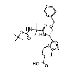 CC(C)(C)OC(=O)NC(C)(C)C(=O)N[C@H](COCc1ccccc1)c1nnc2n1CCC(C(=O)O)C2